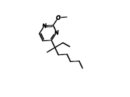 CCCCCC(C)(CC)c1ccnc(OC)n1